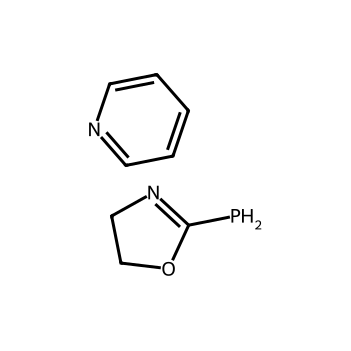 PC1=NCCO1.c1ccncc1